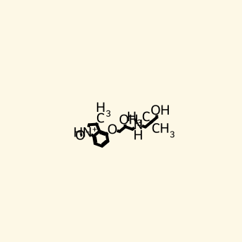 CC1C[NH+]([O-])c2cccc(OCC(O)CNCC(C)(C)CO)c21